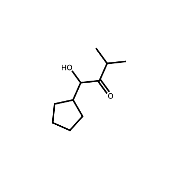 CC(C)C(=O)C(O)C1CCCC1